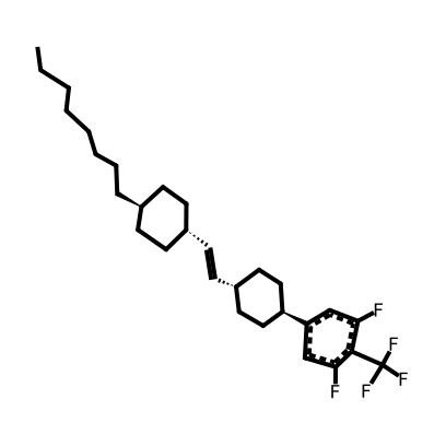 CCCCCCCC[C@H]1CC[C@H](C=C[C@H]2CC[C@H](c3cc(F)c(C(F)(F)F)c(F)c3)CC2)CC1